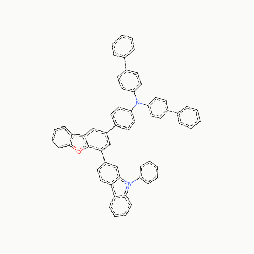 C1=C=c2c(oc3c(-c4ccc5c6ccccc6n(-c6ccccc6)c5c4)cc(-c4ccc(N(c5ccc(-c6ccccc6)cc5)c5ccc(-c6ccccc6)cc5)cc4)cc23)=CC=1